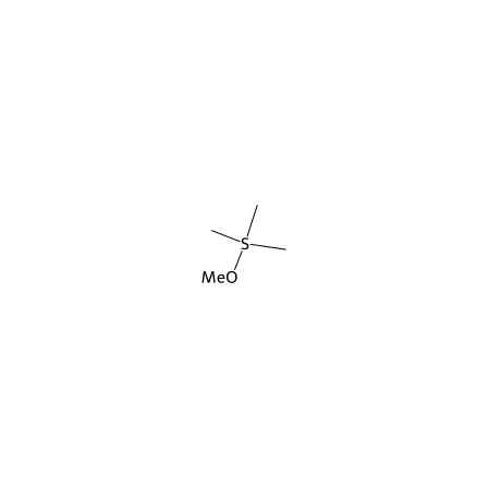 COS(C)(C)C